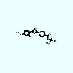 COc1ccc(-c2noc(N3CCC(C(=O)OC(C)(C)C)CC3)n2)c(Cl)c1